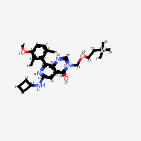 COc1ccc(C)c(-c2nc(NC3CCC3)cc3c(=O)n(COCC[Si](C)(C)C)cnc23)c1C